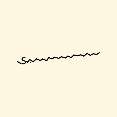 CCCCCCCCCCCCCCCCCCCCCCC[CH]SCC